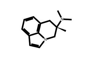 CN(C)[C@@]1(C)Cc2cccc3ccn(c23)C1